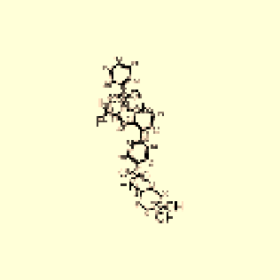 O=S(=O)(NC1CCS(O)(O)CC1)c1ccc(-c2ccnc3c2cc(C(F)F)n3S(=O)(=O)c2ccccc2)nc1